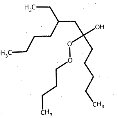 CCCCCC(O)(CC(CC)CCCC)OOCCCC